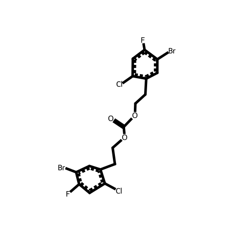 O=C(OCCc1cc(Br)c(F)cc1Cl)OCCc1cc(Br)c(F)cc1Cl